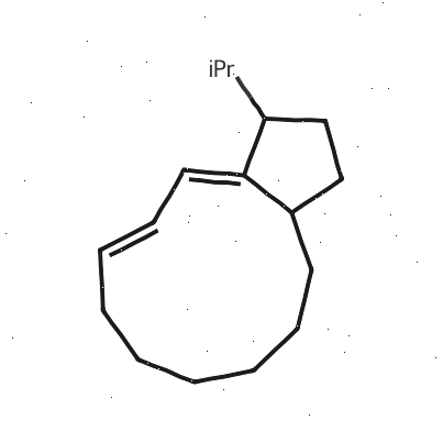 CC(C)C1CCC2CCCCCC/C=C/C=C\21